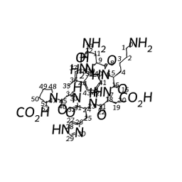 NCCCC[C@H](NC(=O)[C@@H](N)CC(N)=O)C(=O)N[C@@H](CC(=O)O)C(=O)N[C@@H](Cc1c[nH]cn1)C(=O)N[C@@H](Cc1c[nH]c2ccccc12)C(=O)N1CCC[C@H]1C(=O)O